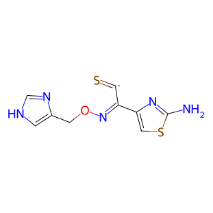 Nc1nc(C([C]=S)=NOCc2c[nH]cn2)cs1